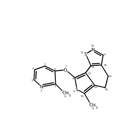 Cc1ncccc1Oc1sc(C)c2c1-c1sncc1CC2